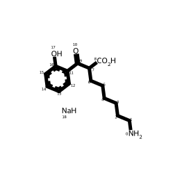 NCCCCCCC(C(=O)O)C(=O)c1ccccc1O.[NaH]